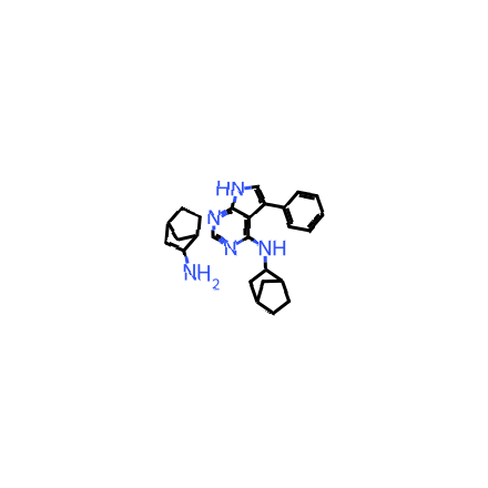 NC1CC2CCC1C2.c1ccc(-c2c[nH]c3ncnc(NC4CC5CCC4C5)c23)cc1